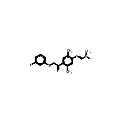 CCN(C)/C=N/c1cc(C)c(C(=O)CSc2cccc(F)c2)cc1C